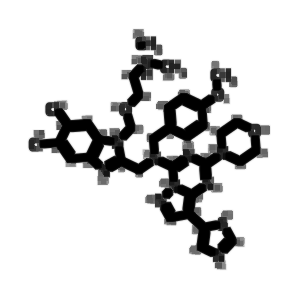 COc1ccc(CN(Cc2nc3cc(Cl)c(Cl)cc3n2COCC[SiH](C)C)c2nc(N3CCOCC3)nc3c(-c4cncs4)cnn23)cc1